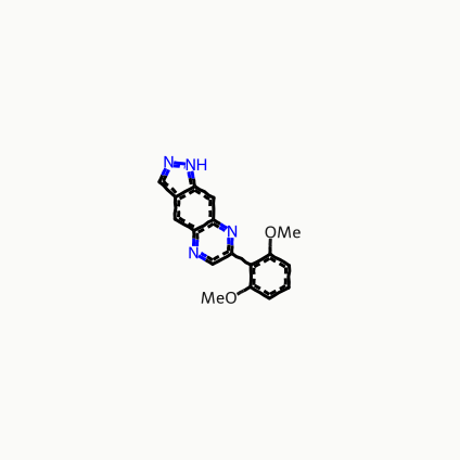 COc1cccc(OC)c1-c1cnc2cc3cn[nH]c3cc2n1